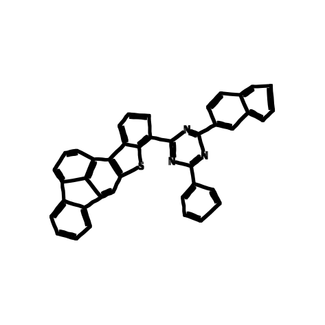 c1ccc(-c2nc(-c3ccc4ccccc4c3)nc(-c3cccc4c3sc3cc5c6c(cccc6c34)-c3ccccc3-5)n2)cc1